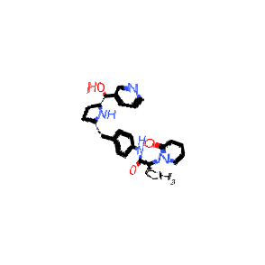 C[C@@H](C(=O)Nc1ccc(C[C@@H]2CC[C@H](C(O)c3cccnc3)N2)cc1)n1ccccc1=O